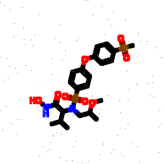 COC(C)CN(C(C(=O)NO)C(C)C)S(=O)(=O)c1ccc(Oc2ccc(S(C)(=O)=O)cc2)cc1